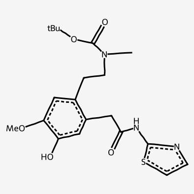 COc1cc(CCN(C)C(=O)OC(C)(C)C)c(CC(=O)Nc2nccs2)cc1O